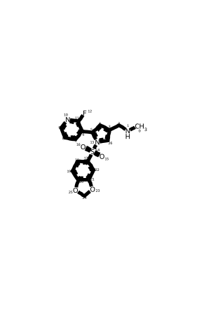 CNCc1cc(-c2cccnc2F)n(S(=O)(=O)c2ccc3c(c2)OCO3)c1